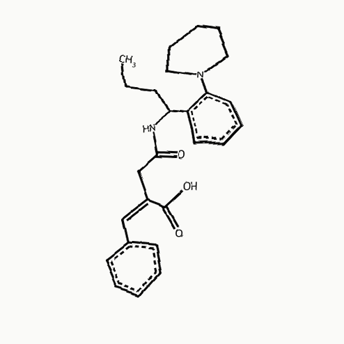 CCCC(NC(=O)CC(=Cc1ccccc1)C(=O)O)c1ccccc1N1CCCCC1